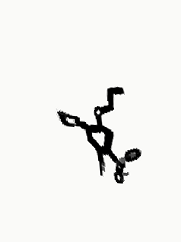 CCCOc1cc([N+](=O)[O-])c(F)cc1Cl